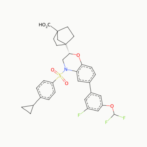 O=C(O)C12CCC([C@H]3CN(S(=O)(=O)c4ccc(C5CC5)cc4)c4cc(-c5cc(F)cc(OC(F)F)c5)ccc4O3)(CC1)C2